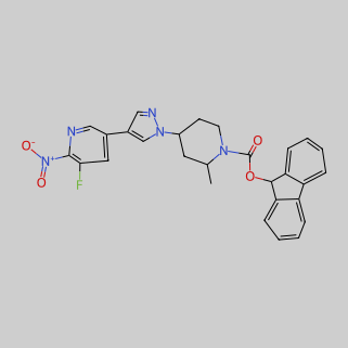 CC1CC(n2cc(-c3cnc([N+](=O)[O-])c(F)c3)cn2)CCN1C(=O)OC1c2ccccc2-c2ccccc21